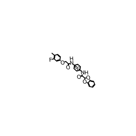 Cc1ccc(OCC(=O)NC23CCC(NC(=O)C4Oc5ccccc5O4)(CC2)CC3)cc1F